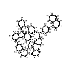 CC1(C)c2ccccc2-c2ccc(N(c3ccc(-c4ccccc4-n4c5ccccc5c5c(-c6ccc7ccccc7c6)cccc54)cc3)c3ccc(-c4cccc5ccccc45)cc3)cc21